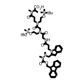 CC(C(=O)O)N(C)C(=O)CCN(CCO[Si](C)(C)C(C)(C)C)C(=O)CN(CCO[Si](C)(C)C(C)(C)C)C(=O)CNC(=O)CCn1c(CN(C)N(C)C(=O)OCC2c3ccccc3-c3ccccc32)cc2ccccc21